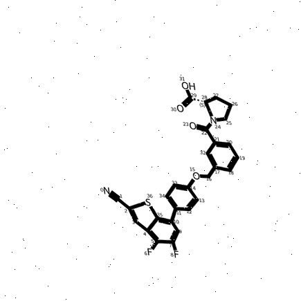 N#Cc1cc2c(F)c(F)cc(-c3ccc(OCc4cccc(C(=O)N5CCC[C@H]5C(=O)O)c4)cc3)c2s1